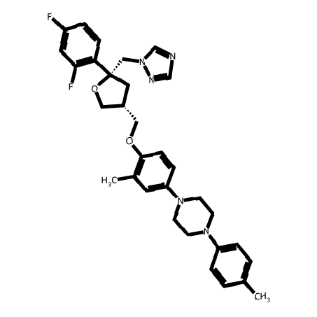 Cc1ccc(N2CCN(c3ccc(OC[C@@H]4CO[C@@](Cn5cncn5)(c5ccc(F)cc5F)C4)c(C)c3)CC2)cc1